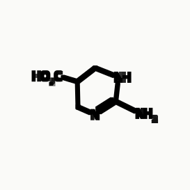 NC1=NCC(C(=O)O)CN1